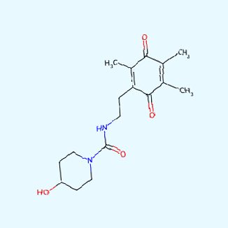 CC1=C(C)C(=O)C(CCNC(=O)N2CCC(O)CC2)=C(C)C1=O